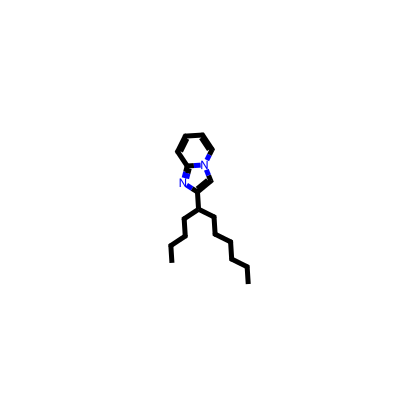 CCCCCCC(CCCC)c1cn2ccccc2n1